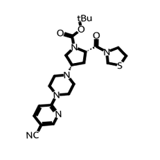 CC(C)(C)OC(=O)N1C[C@@H](N2CCN(c3ccc(C#N)cn3)CC2)C[C@H]1C(=O)N1CCSC1